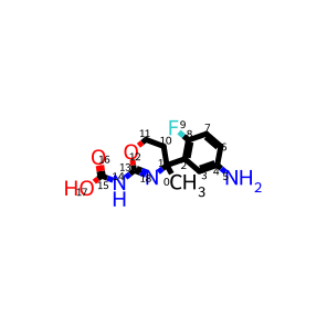 CC1(c2cc(N)ccc2F)CCOC(NC(=O)O)=N1